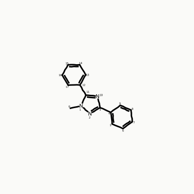 Cn1nc(-c2cc[c]cc2)nc1-c1cc[c]cc1